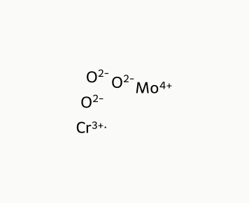 [Cr+3].[Mo+4].[O-2].[O-2].[O-2]